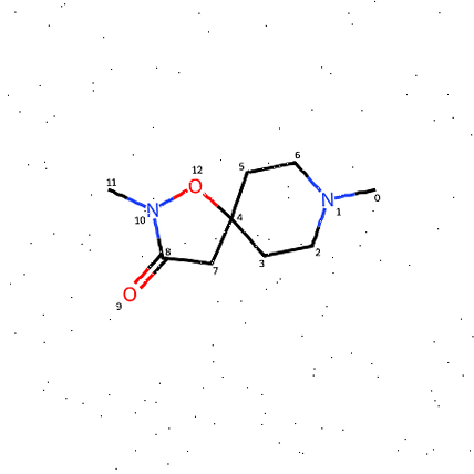 CN1CCC2(CC1)CC(=O)N(C)O2